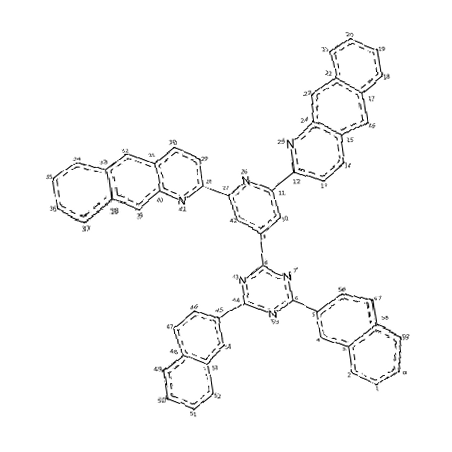 c1ccc2cc(-c3nc(-c4cc(-c5ccc6cc7ccccc7cc6n5)nc(-c5ccc6cc7ccccc7cc6n5)c4)nc(-c4ccc5ccccc5c4)n3)ccc2c1